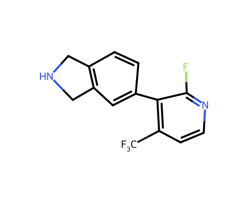 Fc1nccc(C(F)(F)F)c1-c1ccc2c(c1)CNC2